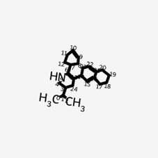 CC(C)C1CNC(C2CC=CCC2)=C(C2C=C3CCCCC3=CC2)C1